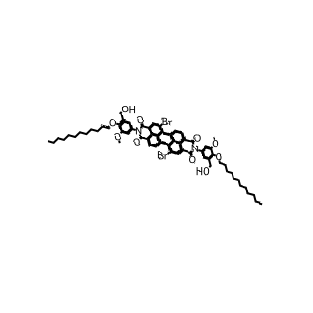 CCCCCCCCCCCCOc1c(CO)cc(N2C(=O)c3ccc4c5c(Br)cc6c7c(ccc(c8c(Br)cc(c3c48)C2=O)c75)C(=O)N(c2cc(CO)c(OCCCCCCCCCCCC)c(OC)c2)C6=O)cc1OC